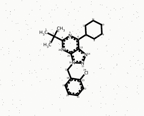 CC(C)(C)c1nc(C2CCCCC2)c2nnn(Cc3ccccc3Cl)c2n1